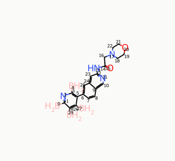 Bc1nc(B)c(-c2ccc3cnc(NC(=O)CN4CCOCC4)cc3c2)c(B)c1B